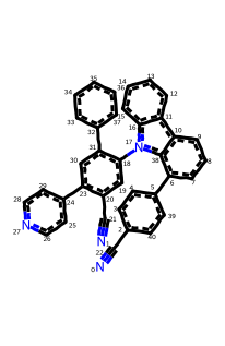 N#Cc1ccc(-c2cccc3c4ccccc4n(-c4cc(C#N)c(-c5ccncc5)cc4-c4ccccc4)c23)cc1